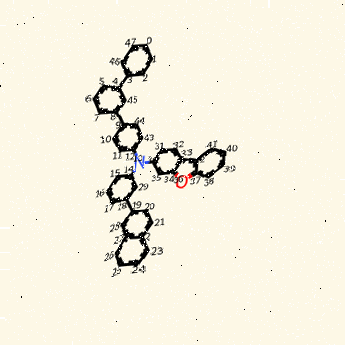 c1ccc(-c2cccc(-c3ccc(N(c4cccc(-c5ccc6ccccc6c5)c4)c4ccc5c(c4)oc4ccccc45)cc3)c2)cc1